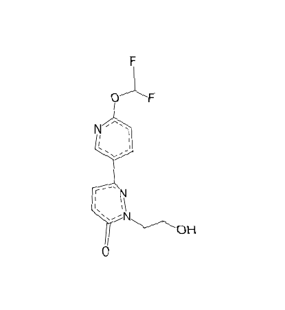 O=c1ccc(-c2ccc(OC(F)F)nc2)nn1CCO